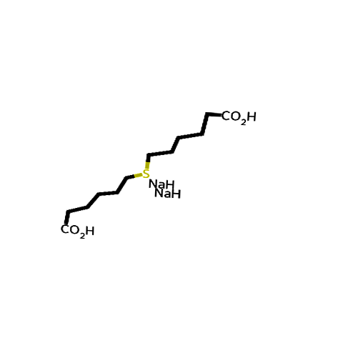 O=C(O)CCCCCSCCCCCC(=O)O.[NaH].[NaH]